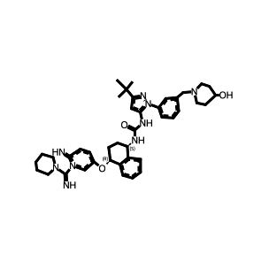 CC(C)(C)c1cc(NC(=O)N[C@H]2CC[C@@H](Oc3ccc(=N)n(C(=N)N4CCCCC4)c3)c3ccccc32)n(-c2cccc(CN3CCC(O)CC3)c2)n1